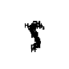 CC(C)(C)NC(=O)O[C@H](CO)Cc1nc(-c2ccc(Oc3ccc(C(F)(F)F)cn3)cc2)no1